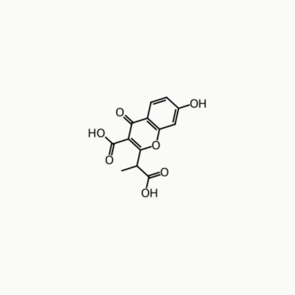 CC(C(=O)O)c1oc2cc(O)ccc2c(=O)c1C(=O)O